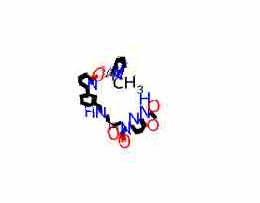 CN1CCC[C@H]1COc1cccc(-c2cccc(CNCC[C@H]3CN(c4ccc5c(n4)NC(=O)CO5)C(=O)O3)c2)n1